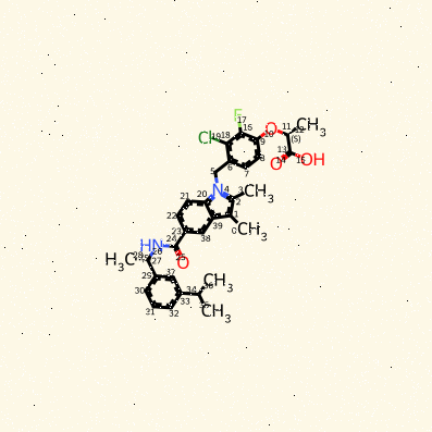 Cc1c(C)n(Cc2ccc(O[C@@H](C)C(=O)O)c(F)c2Cl)c2ccc(C(=O)N[C@@H](C)c3cccc(C(C)C)c3)cc12